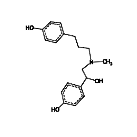 CN(CCCc1ccc(O)cc1)CC(O)c1ccc(O)cc1